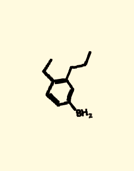 Bc1ccc(CC)c(CCC)c1